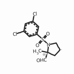 C[C@@]1(C=O)C[CH]CN1S(=O)(=O)c1cc(Cl)cc(Cl)c1